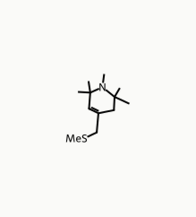 CSCC1=CC(C)(C)N(C)C(C)(C)C1